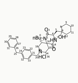 CCCCN1C(=O)[C@@H](CC2(O)CCCCC2)NC(=O)C12CCN(Cc1ccc(Cc3ccccc3)cc1)CC2.Cl